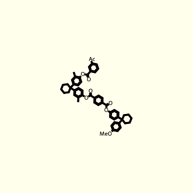 COc1ccc(C2(c3ccc(OC(=O)c4ccc(C(=O)Oc5ccc(C6(c7ccc(OC(=O)c8cccc(C(C)=O)c8)c(C)c7)CCCCC6)cc5C)cc4)cc3)CCCCC2)cc1